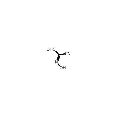 N#C/C(C=O)=N\O